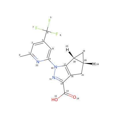 Cc1cc(C(F)(F)F)cc(-n2nc(C(=O)O)c3c2[C@@H]2C[C@@H]2C3)n1